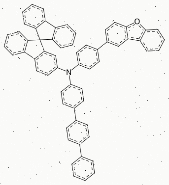 c1ccc(-c2ccc(-c3ccc(N(c4ccc(-c5ccc6oc7ccccc7c6c5)cc4)c4ccc5c(c4)C4(c6ccccc6-c6ccccc64)c4ccccc4-5)cc3)cc2)cc1